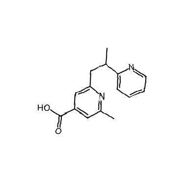 Cc1cc(C(=O)O)cc(CC(C)c2ccccn2)n1